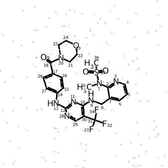 CN(c1ncccc1CNc1nc(Nc2ccc(C(=O)N3CCOCC3)cc2)ncc1C(F)(F)F)S(C)(=O)=O